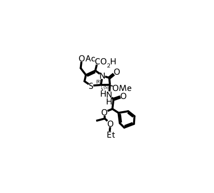 CCOC(C)OC(C(=O)N[C@]1(OC)C(=O)N2C(C(=O)O)=C(COC(C)=O)CS[C@@H]21)c1ccccc1